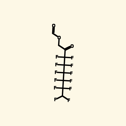 O=COCC(=O)C(F)(F)C(F)(F)C(F)(F)C(F)(F)C(F)(F)C(F)F